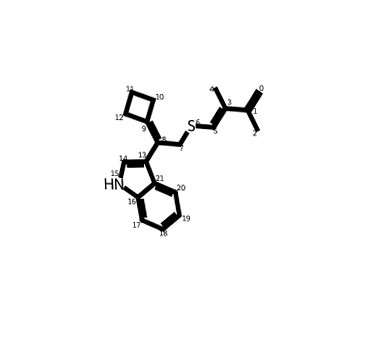 C=C(C)/C(C)=C/SCC(=C1CCC1)c1c[nH]c2ccccc12